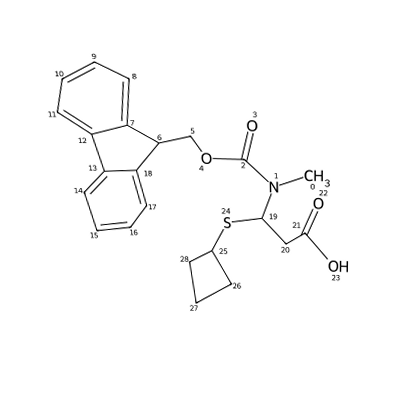 CN(C(=O)OCC1c2ccccc2-c2ccccc21)C(CC(=O)O)SC1CCC1